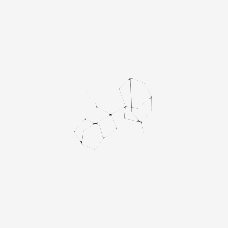 BrC1C2CC3CC(C2)CC1(C12CC4CC(CC(Br)(C4)C1)C2)C3